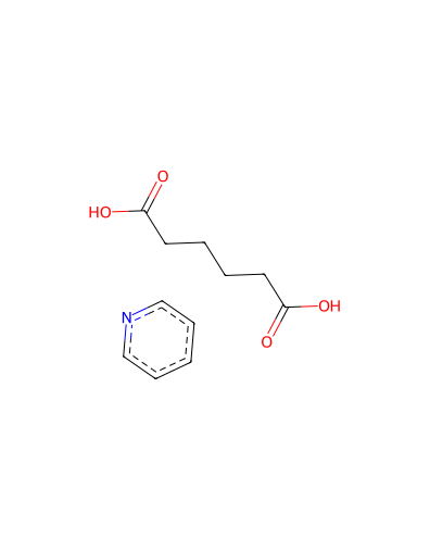 O=C(O)CCCCC(=O)O.c1ccncc1